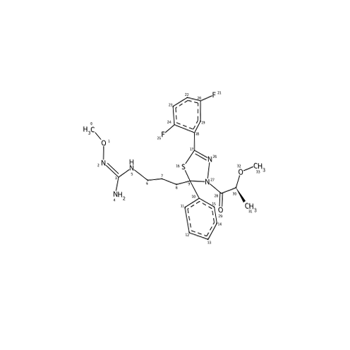 CO/N=C(/N)NCCCC1(c2ccccc2)SC(c2cc(F)ccc2F)=NN1C(=O)[C@H](C)OC